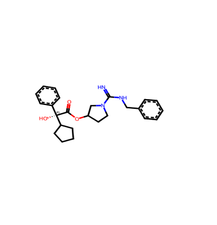 N=C(NCc1ccccc1)N1CCC(OC(=O)[C@](O)(c2ccccc2)C2CCCC2)C1